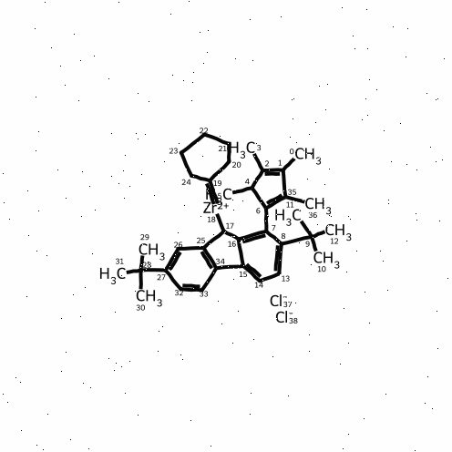 CC1=C(C)C(C)C(c2c(C(C)(C)C)ccc3c2[CH]([Zr+2]=[C]2CCCCC2)c2cc(C(C)(C)C)ccc2-3)=C1C.[Cl-].[Cl-]